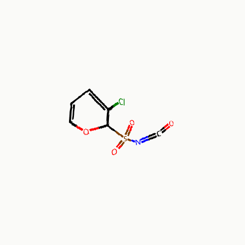 O=C=NS(=O)(=O)C1OC=CC=C1Cl